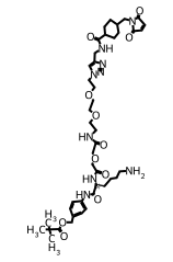 CC(C)(C)C(=O)OCc1ccc(NC(=O)[C@H](CCCCN)NC(=O)COCC(=O)NCCOCCOCCn2cc(CNC(=O)C3CCC(CN4C(=O)C=CC4=O)CC3)nn2)cc1